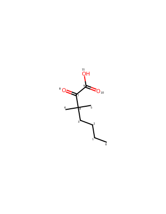 CCCCC(C)(C)C(=O)C(=O)O